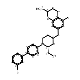 Cc1cc(CN2CCN(c3ccc(-c4cccc(F)c4)cn3)[C@H](CC(C)C)C2)cc2c1CCC(C(=O)O)O2